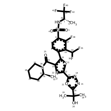 C[C@H](NS(=O)(=O)c1ccc(-c2sc(-c3nnc(C(C)(C)O)o3)nc2C(=O)N2CCCC[C@@H]2C)c(C(F)F)c1F)C(F)(F)F